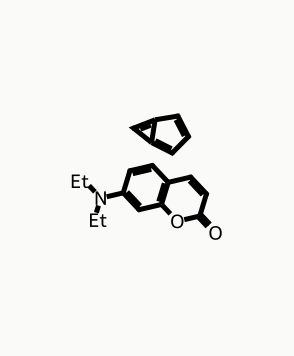 CCN(CC)c1ccc2ccc(=O)oc2c1.c1cc2cc-2c1